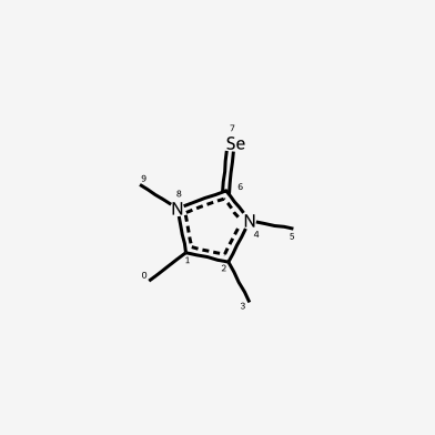 Cc1c(C)n(C)c(=[Se])n1C